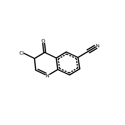 N#Cc1ccc2c(c1)C(=O)C(Cl)C=N2